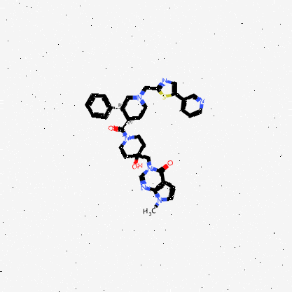 Cn1ccc2c(=O)n(CC3(O)CCN(C(=O)[C@@H]4CCN(Cc5ncc(-c6cccnc6)s5)C[C@H]4c4ccccc4)CC3)cnc21